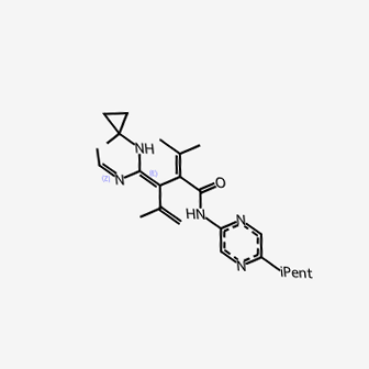 C=C(C)/C(C(C(=O)Nc1cnc(C(C)CCC)cn1)=C(C)C)=C(\N=C/C)NC1(C)CC1